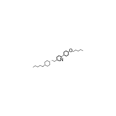 CCCCCOc1ccc(-c2ccc(CC[C@H]3CC[C@H](CCCCC)CC3)cn2)cc1